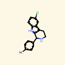 N#Cc1ccc(C2NCCc3c2[nH]c2ccc(Cl)cc32)cc1